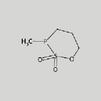 CP1CCCOS1(=O)=O